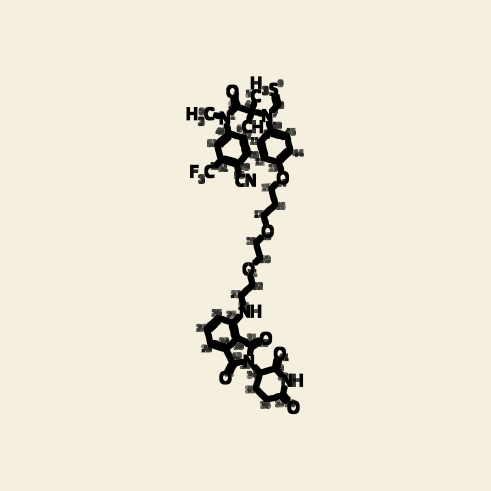 CN(C(=O)C(C)(C)N(C=S)c1ccc(OCCCOCCOCCNc2cccc3c2C(=O)N(C2CCC(=O)NC2=O)C3=O)cc1)c1ccc(C#N)c(C(F)(F)F)c1